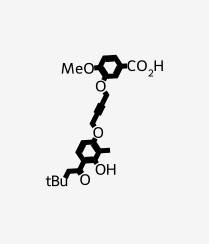 COc1ccc(C(=O)O)cc1OCC#CCOc1ccc(C(=O)CC(C)(C)C)c(O)c1C